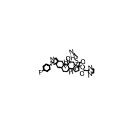 Cn1ccnc1C(=O)O[C@]1(C(=O)SCC#N)CC[C@H]2[C@@H]3CCC4=Cc5c(cnn5-c5ccc(F)cc5)C[C@]4(C)[C@H]3[C@@H](O)C[C@@]21C